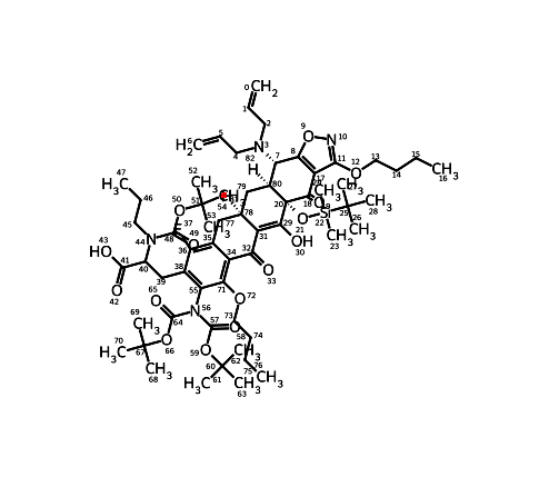 C=CCN(CC=C)[C@@H]1c2onc(OCCCC)c2C(=O)[C@@]2(O[Si](C)(C)C(C)(C)C)C(O)=C3C(=O)c4c(c(F)c(CC(C(=O)O)N(CCC)C(=O)OC(C)(C)C)c(N(C(=O)OC(C)(C)C)C(=O)OC(C)(C)C)c4OCCCC)C[C@H]3C[C@@H]12